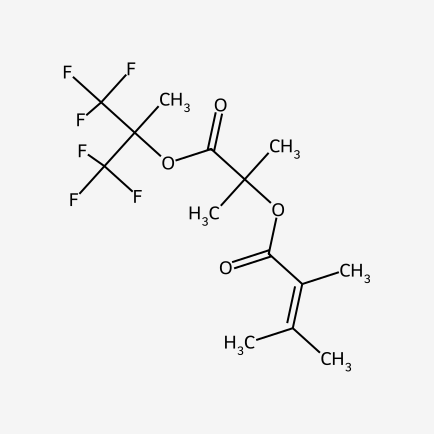 CC(C)=C(C)C(=O)OC(C)(C)C(=O)OC(C)(C(F)(F)F)C(F)(F)F